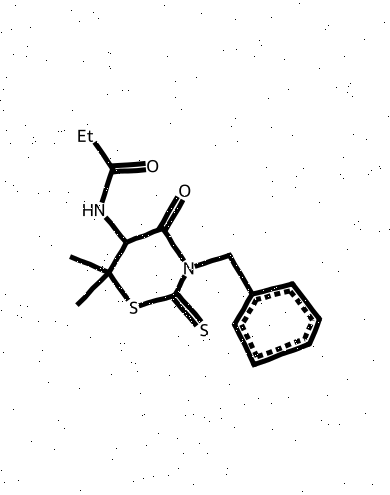 CCC(=O)NC1C(=O)N(Cc2ccccc2)C(=S)SC1(C)C